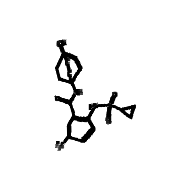 N#CC12CCC(NC(=O)c3cc(C(F)(F)F)ccc3NS(=O)(=O)C3CC3)(CC1)CC2